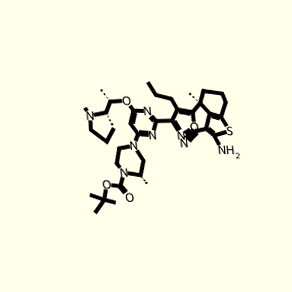 CCCc1c(-c2nc(O[C@@H](C)[C@@H]3CCCN3C)cc(N3CCN(C(=O)OC(C)(C)C)[C@@H](C)C3)n2)noc1[C@@]1(C)CCCc2sc(N)c(C#N)c21